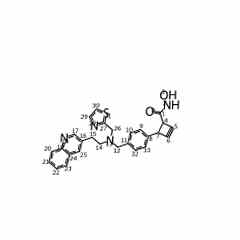 O=C(NO)C1C#CC1c1ccc(CN(CCc2cnc3ccccc3c2)Cc2nccs2)cc1